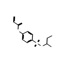 C=CC(=O)Oc1ccc(S(=O)(=O)NC(C)CC)cc1